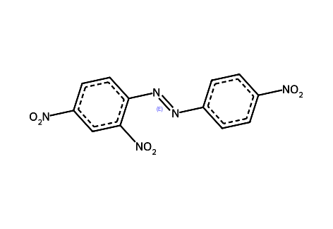 O=[N+]([O-])c1ccc(/N=N/c2ccc([N+](=O)[O-])cc2[N+](=O)[O-])cc1